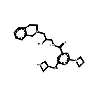 O=C(NCC(O)CN1CCc2ccccc2C1)c1cc(NC2CNC2)nc(N2CCC2)n1